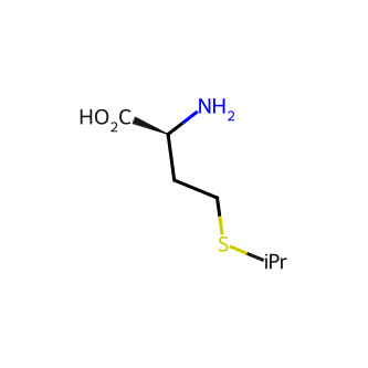 CC(C)SCC[C@H](N)C(=O)O